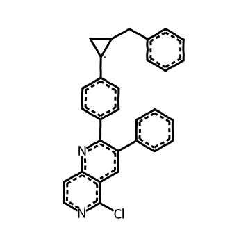 Clc1nccc2nc(-c3ccc([C]4CC4Cc4ccccc4)cc3)c(-c3ccccc3)cc12